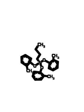 CCCC[Si](Oc1ccccc1C)(Oc1ccccc1C)Oc1ccccc1C